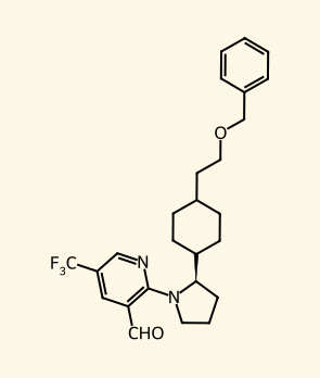 O=Cc1cc(C(F)(F)F)cnc1N1CCC[C@@H]1C1CCC(CCOCc2ccccc2)CC1